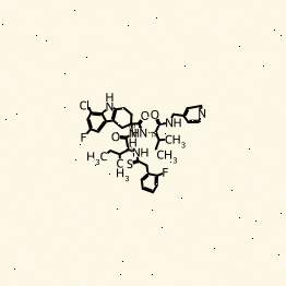 CCC(C)[C@H](NC(=O)[C@@]1(NC(=O)[C@@H](NC(=S)Cc2ccccc2F)C(C)CC)CCc2[nH]c3c(Cl)cc(F)cc3c2C1)C(=O)NCc1ccncc1